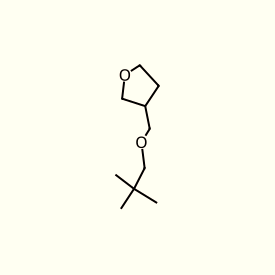 CC(C)(C)COCC1CCOC1